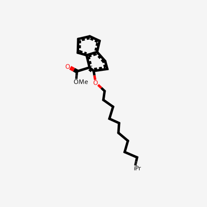 COC(=O)c1c(OCCCCCCCCCC(C)C)ccc2ccccc12